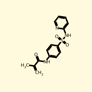 C=C(C)C(=O)Nc1ccc(S(=O)(=O)Nc2ccccn2)cc1